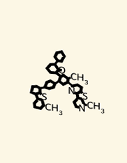 Cc1c(-c2ccc3sc4c(C)nccc4c3n2)cc(-c2ccc(-c3cccc4c3sc3c(C)cccc34)cc2)c2c1oc1c(-c3ccccc3)cccc12